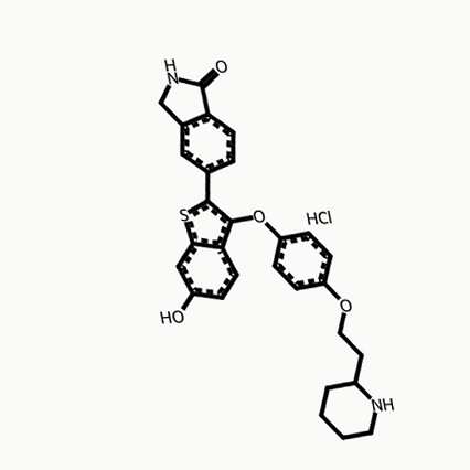 Cl.O=C1NCc2cc(-c3sc4cc(O)ccc4c3Oc3ccc(OCCC4CCCCN4)cc3)ccc21